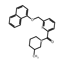 CC1CCCN(C(=O)c2cccc(COc3cccc4ccccc34)n2)C1